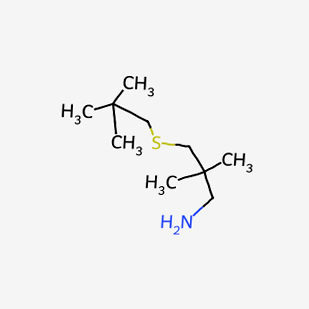 CC(C)(C)CSCC(C)(C)CN